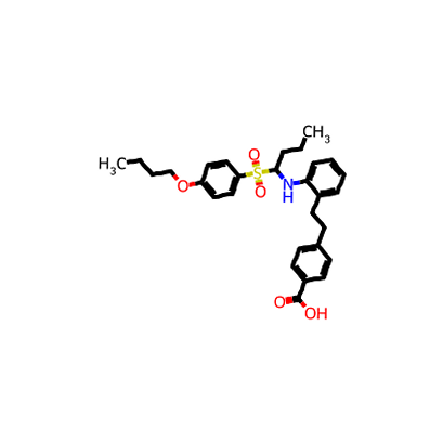 CCCCOc1ccc(S(=O)(=O)C(CCC)Nc2ccccc2CCc2ccc(C(=O)O)cc2)cc1